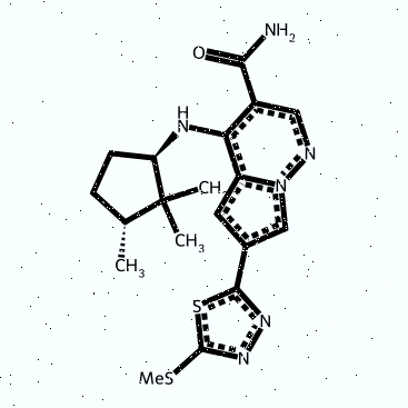 CSc1nnc(-c2cc3c(N[C@@H]4CC[C@@H](C)C4(C)C)c(C(N)=O)cnn3c2)s1